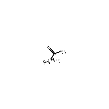 F.NC(N)=O.[CaH2]